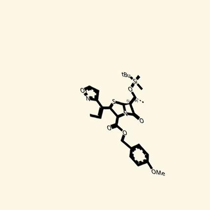 CC=C(c1ccon1)C1SC2[C@@H]([C@@H](C)O[Si](C)(C)C(C)(C)C)C(=O)N2C1C(=O)OCc1ccc(OC)cc1